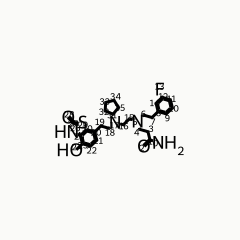 NC(=O)CCN(CCc1cccc(F)c1)CCN(CCc1ccc(O)c2[nH]c(=O)sc12)C1CCCC1